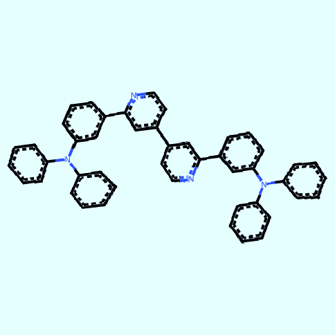 c1ccc(N(c2ccccc2)c2cccc(-c3cc(-c4ccnc(-c5cccc(N(c6ccccc6)c6ccccc6)c5)c4)ccn3)c2)cc1